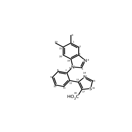 Cc1cc2ncn(-c3ccccc3-c3ncsc3C(=O)O)c2cc1C